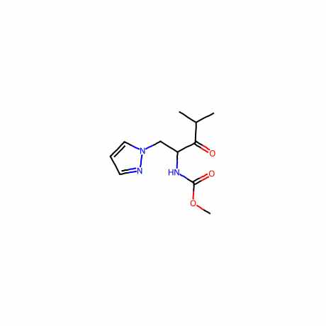 COC(=O)NC(Cn1cccn1)C(=O)C(C)C